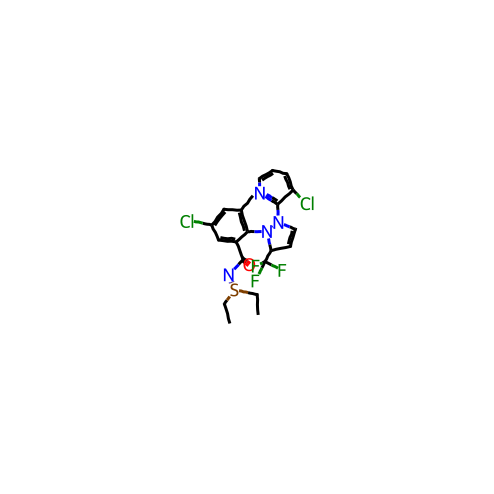 CCS(CC)=NC(=O)c1cc(Cl)cc(C)c1N1C(C(F)(F)F)C=CN1c1ncccc1Cl